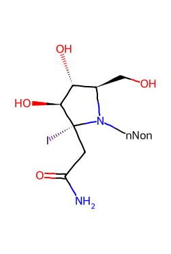 CCCCCCCCCN1[C@H](CO)[C@@H](O)[C@H](O)[C@]1(I)CC(N)=O